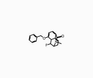 CN1C(=O)C2=CC=C(OCc3ccccc3)C3C2=CCC1C3F